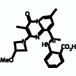 COC1CN(c2nc3c([C@@H](C)Nc4ccccc4C(=O)O)cc(C)cn3c(=O)c2C)C1